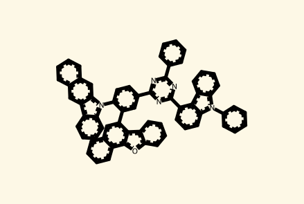 c1ccc(-c2nc(-c3ccc(-n4c5ccccc5c5cc6ccccc6cc54)c(-c4cc5ccccc5c5oc6ccccc6c45)c3)nc(-c3cccc4c3c3ccccc3n4-c3ccccc3)n2)cc1